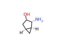 N[C@@H]1[C@H]2C[C@H]2C[C@H]1O